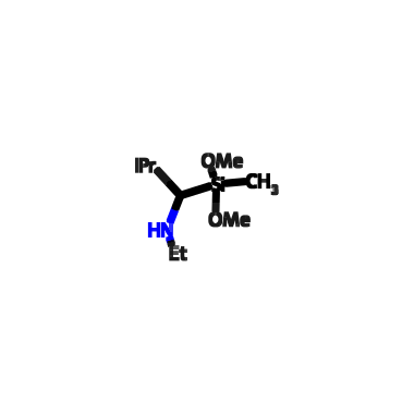 CCNC(C(C)C)[Si](C)(OC)OC